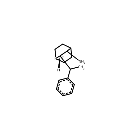 CC(c1ccccc1)[C@H]1C(N)C2CCN1CC2